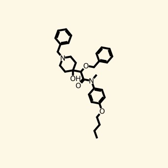 CCCCOc1ccc(N(C)C(=O)C(OCc2ccccc2)C2(O)CCN(Cc3ccccc3)CC2)cc1